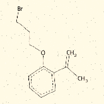 C=C(C)c1ccccc1OCCCBr